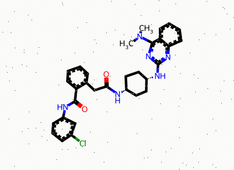 CN(C)c1nc(N[C@H]2CC[C@@H](NC(=O)Cc3ccccc3C(=O)Nc3cccc(Cl)c3)CC2)nc2ccccc12